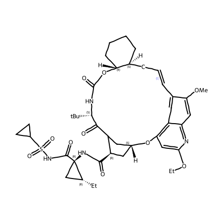 CCOc1cc2c3cc(c(OC)cc3n1)/C=C/C[C@@H]1CCCC[C@H]1OC(=O)N[C@@H](C(C)(C)C)C(=O)C1C[C@@H](C[C@H]1C(=O)N[C@]1(C(=O)NS(=O)(=O)C3CC3)C[C@H]1CC)O2